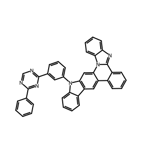 c1ccc(-c2ncnc(-c3cccc(-n4c5ccccc5c5cc6c7ccccc7c7nc8ccccc8n7c6cc54)c3)n2)cc1